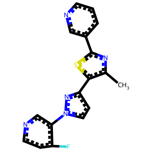 Cc1nc(-c2cccnc2)sc1-c1ccn(-c2cnccc2F)n1